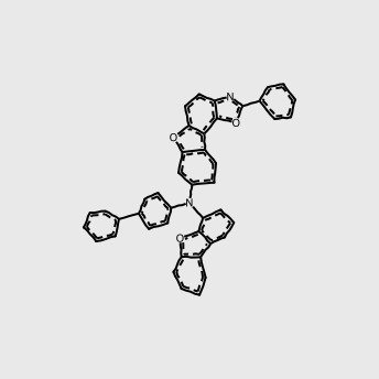 c1ccc(-c2ccc(N(c3ccc4c(c3)oc3ccc5nc(-c6ccccc6)oc5c34)c3cccc4c3oc3ccccc34)cc2)cc1